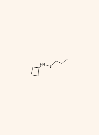 CCCSNC1CCC1